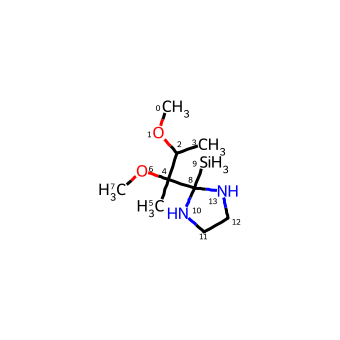 COC(C)C(C)(OC)C1([SiH3])NCCN1